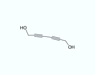 OCC#CC#CCO